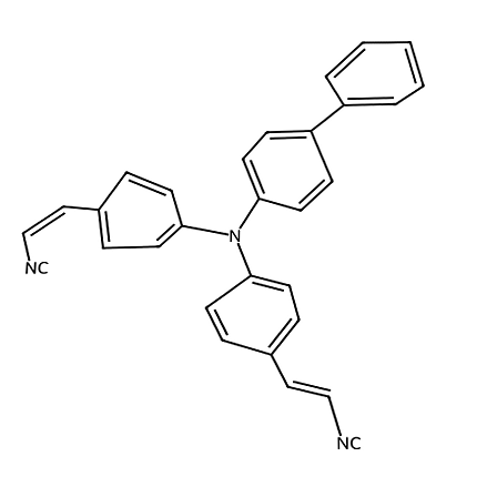 [C-]#[N+]/C=C\c1ccc(N(c2ccc(/C=C/[N+]#[C-])cc2)c2ccc(-c3ccccc3)cc2)cc1